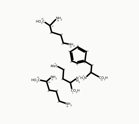 CSCCC(N)C(=O)O.NC(Cc1ccccc1)C(=O)O.NCCCC(N)C(=O)O.NCCCC(N)C(=O)O